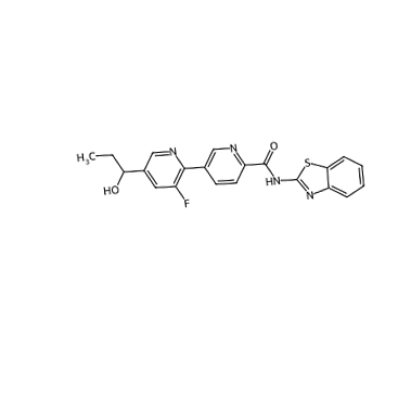 CCC(O)c1cnc(-c2ccc(C(=O)Nc3nc4ccccc4s3)nc2)c(F)c1